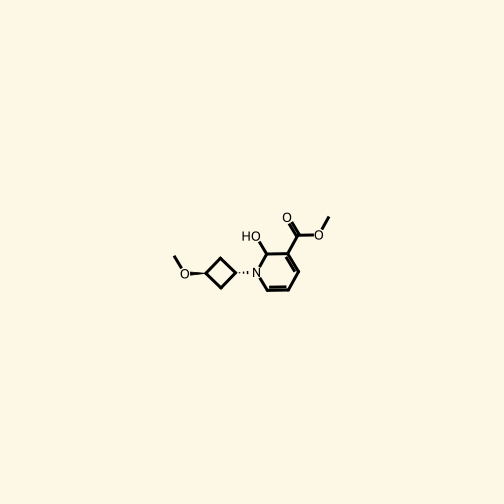 COC(=O)C1=CC=CN([C@H]2C[C@H](OC)C2)C1O